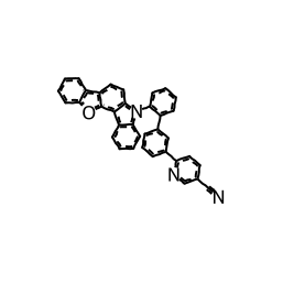 N#Cc1ccc(-c2cccc(-c3ccccc3-n3c4ccccc4c4c5oc6ccccc6c5ccc43)c2)nc1